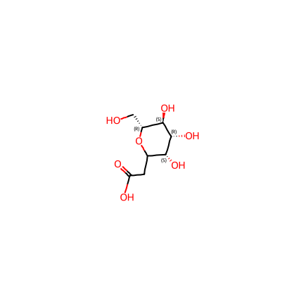 O=C(O)CC1O[C@H](CO)[C@@H](O)[C@H](O)[C@@H]1O